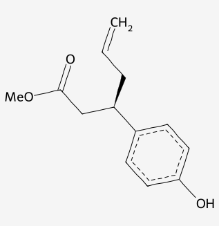 C=CC[C@H](CC(=O)OC)c1ccc(O)cc1